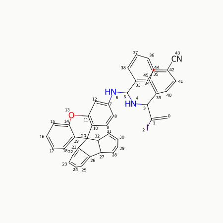 C=C(I)C(NC(Nc1ccc2c(c1)Oc1ccccc1C21c2ccccc2C2C=CC=CC21)c1ccccc1)c1ccc(C#N)cc1